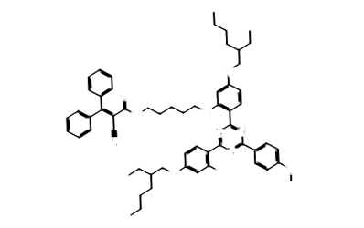 CCCCC(CC)COc1ccc(-c2nc(-c3ccc(OC)cc3)nc(-c3ccc(OCC(CC)CCCC)cc3OCCCCCOC(=O)C(C#N)=C(c3ccccc3)c3ccccc3)n2)c(O)c1